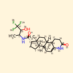 CC(NC(=O)[C@H]1CC[C@H]2[C@@H]3CC=C4NC(=O)CC[C@]4(C)[C@H]3CC[C@]12C)C(O)C(F)(F)F